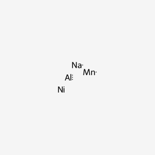 [Al].[Mn].[Na].[Ni]